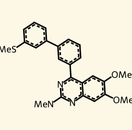 CNc1nc(-c2cccc(-c3cccc(SC)c3)c2)c2cc(OC)c(OC)cc2n1